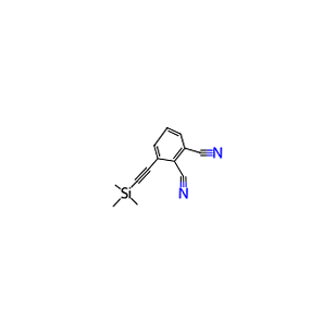 C[Si](C)(C)C#Cc1cccc(C#N)c1C#N